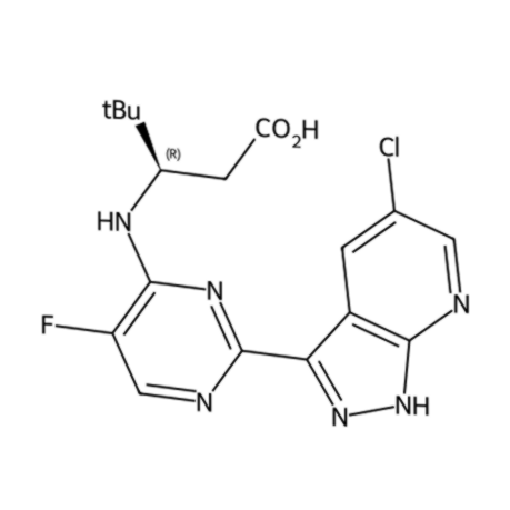 CC(C)(C)[C@@H](CC(=O)O)Nc1nc(-c2n[nH]c3ncc(Cl)cc23)ncc1F